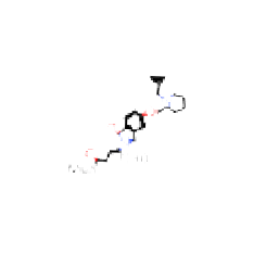 CNC(=O)CCC(C=O)N1Cc2cc(OCC3CCCCN3CC3CC3)ccc2C1=O